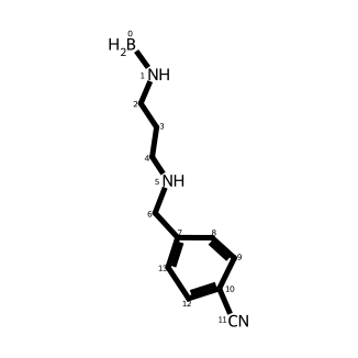 BNCCCNCc1ccc(C#N)cc1